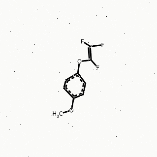 COc1ccc(OC(F)=C(F)F)cc1